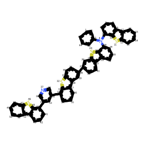 c1ccc(N(c2cccc3c2sc2ccccc23)c2cccc3c2sc2cc(-c4ccc5sc6c(-c7cncc(-c8cccc9c8sc8ccccc89)c7)cccc6c5c4)ccc23)cc1